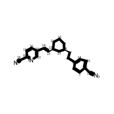 N#Cc1ccc(CC[C@@H]2CCC[C@H](/C=C/c3ccc(C#N)nc3)C2)cc1